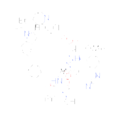 CCc1ccncc1-c1c2c3cc(ccc3n1CC)-c1cccc(c1)C[C@H](NC(=O)[C@H](C(C)C)N(C)C(=O)CCN=C=Nc1ccc(OC)cc1COC)C(=O)N1CCC[C@H](N1)C(=O)OCC(C)(C)C2